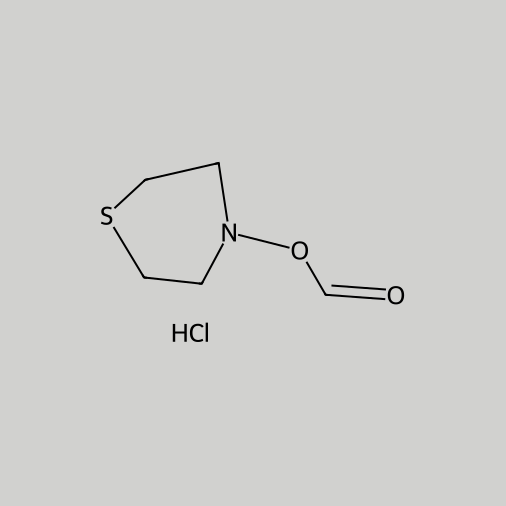 Cl.O=CON1CCSCC1